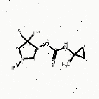 CC(C)N1C[C@H](OC(=O)NC2(C(F)(F)F)CC2)C(F)(F)C1